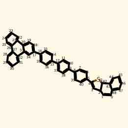 C1=CC2C=C(c3ccc(-c4ccc(-c5ccc(-c6ccc7c8ccccc8c8ccccc8c7c6)cc5)cc4)cc3)SC2c2ccccc21